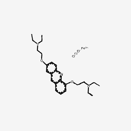 CCN(CC)CCOc1ccc2nc3c(OCCN(CC)CC)cccc3cc2c1.[Cl-].[Cl-].[Cl-].[Fe+3]